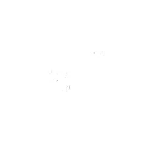 CCOC(=O)N(c1ccccc1Cl)c1c(-c2ccc(-c3cccc(CC(=O)O)c3)cc2)noc1C